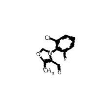 CC1=C(C=O)N(c2c(F)cccc2Cl)CO1